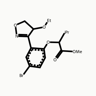 CCOC1CON=C1c1cc(Br)ccc1OC(C(=O)OC)C(C)C